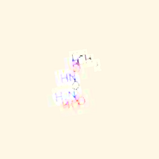 CC(C)=NOCCNc1ccc(CC(N)C(=O)O)cc1